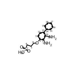 Nc1c(OCCCS(=O)(=O)O)ccc(-c2ccccc2)c1N